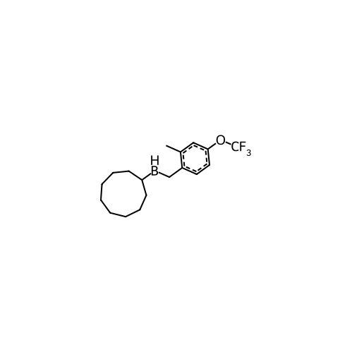 Cc1cc(OC(F)(F)F)ccc1CBC1CCCCCCCC1